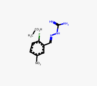 CC(=O)O.N=C(N)N/N=C/c1cc([N+](=O)[O-])ccc1F